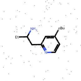 CCCCc1ccnc(CC(N)CC)c1